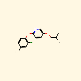 CCCc1ccc(Oc2ccc(OCC(C)NC(C)=O)cn2)c(Cl)c1